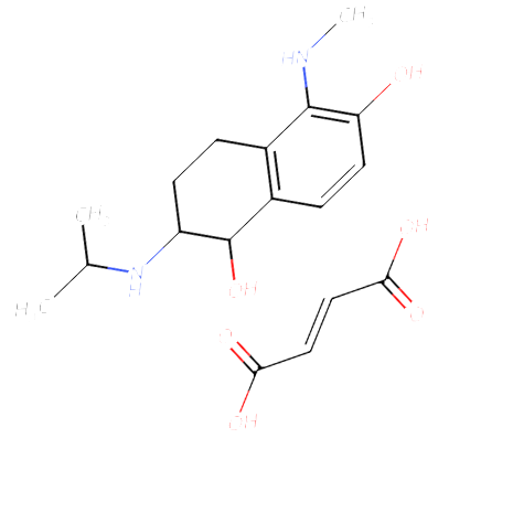 CNc1c(O)ccc2c1CCC(NC(C)C)C2O.O=C(O)C=CC(=O)O